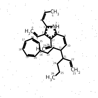 C=Cc1c(/C=C\C)[nH]c(/C=C\C(CCC2C=CC=CC=C2)C(C=C)CCC)c1C=C